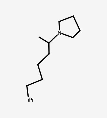 CC(C)CCCCC(C)N1CCCC1